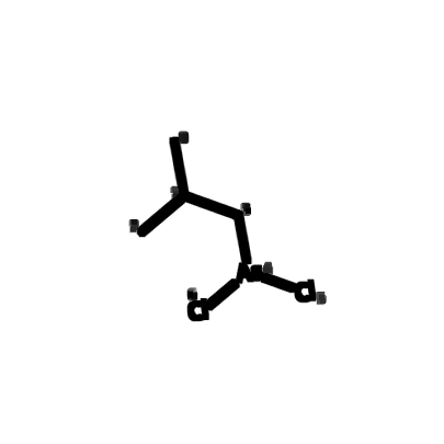 CC(C)C[As](Cl)Cl